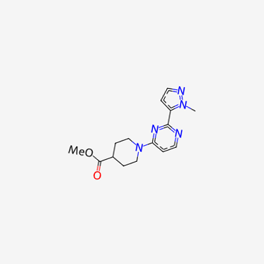 COC(=O)C1CCN(c2ccnc(-c3ccnn3C)n2)CC1